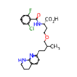 CC(CCc1ccc2c(n1)NCCC2)COCC[C@H](NC(=O)c1c(F)cccc1Cl)C(=O)O